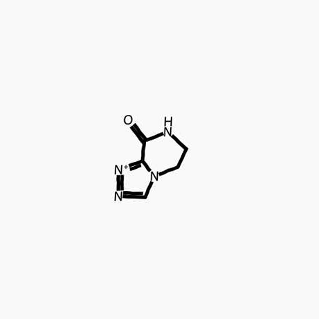 O=C1NCCN2C=[N+]=[N+]=C12